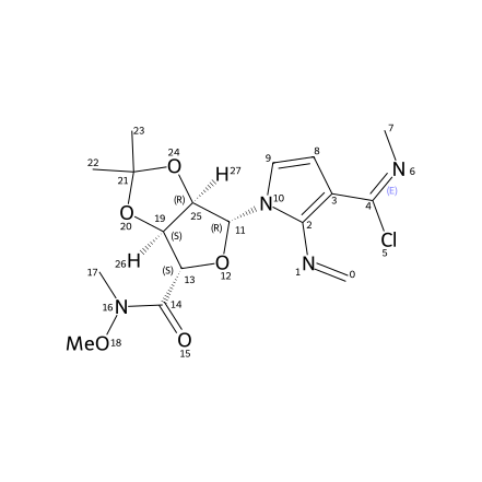 C=Nc1c(/C(Cl)=N\C)ccn1[C@@H]1O[C@H](C(=O)N(C)OC)[C@H]2OC(C)(C)O[C@H]21